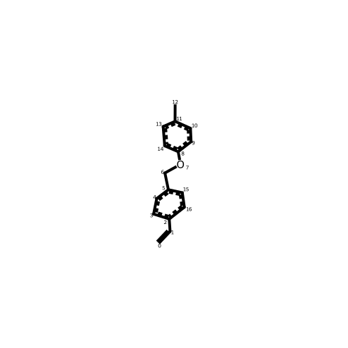 C=Cc1ccc(COc2ccc(C)cc2)cc1